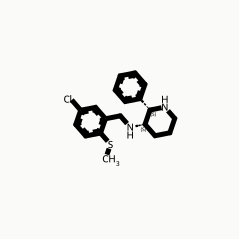 CSc1ccc(Cl)cc1CN[C@H]1CCCN[C@H]1c1ccccc1